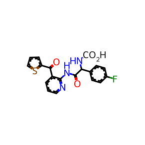 O=C(O)NC(C(=O)Nc1ncccc1C(=O)c1cccs1)c1ccc(F)cc1